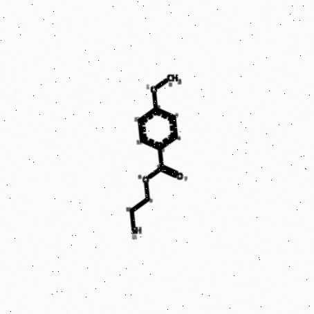 COc1ccc(C(=O)OCCS)cc1